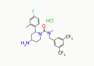 Cc1cc(F)ccc1C1CC(N)CCN1C(=O)N(C)Cc1cc(C(F)(F)F)cc(C(F)(F)F)c1.Cl